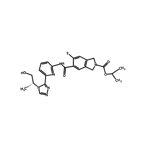 CC(C)OC(=O)N1Cc2cc(F)c(C(=O)Nc3cccc(-c4nncn4[C@H](C)CO)n3)cc2C1